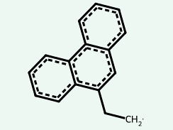 [CH2]Cc1cc2ccccc2c2ccccc12